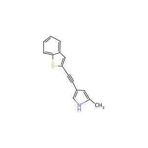 Cc1cc(C#Cc2cc3ccccc3s2)c[nH]1